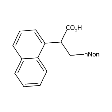 CCCCCCCCCCC(C(=O)O)c1cccc2ccccc12